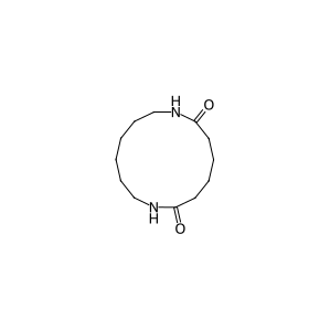 O=C1CCCCC(=O)NCCCCCCN1